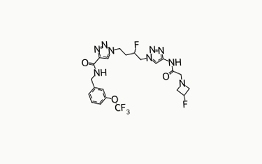 O=C(CN1CC(F)C1)Nc1cn(CC(F)CCn2cc(C(=O)NCc3cccc(OC(F)(F)F)c3)nn2)nn1